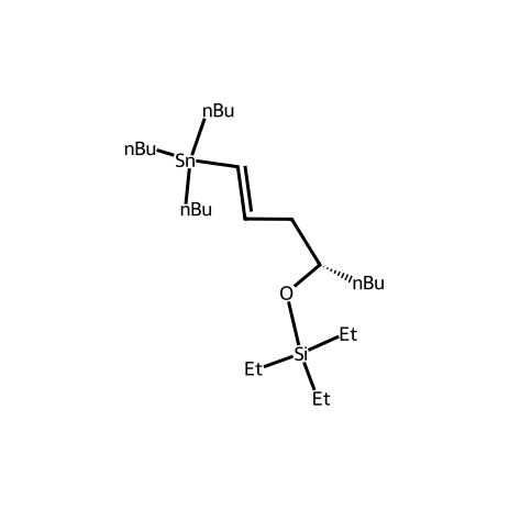 CCCC[C@@H](C/C=[CH]/[Sn]([CH2]CCC)([CH2]CCC)[CH2]CCC)O[Si](CC)(CC)CC